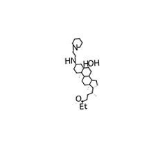 CCC(=O)CC[C@@H](C)[C@H]1CCC2C3C[C@H](O)[C@@H]4CC(NCCN5CCCCC5)CC[C@]4(C)C3CC[C@@]21C